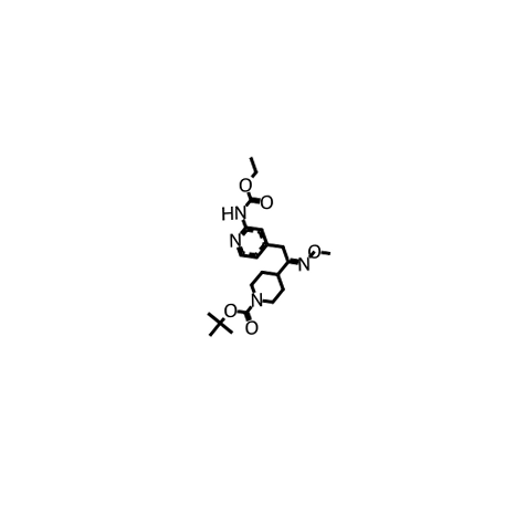 CCOC(=O)Nc1cc(C/C(=N\OC)C2CCN(C(=O)OC(C)(C)C)CC2)ccn1